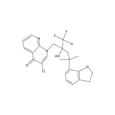 CC(C)(CC(O)(Cn1cc(Cl)c(=O)c2cccnc21)C(F)(F)F)c1cccc2c1OCC2